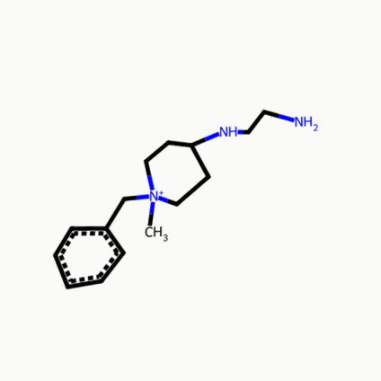 C[N+]1(Cc2ccccc2)CCC(NCCN)CC1